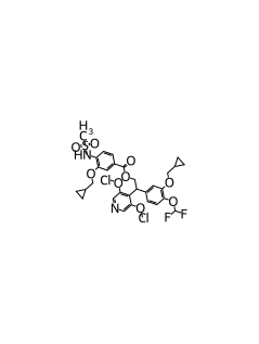 CS(=O)(=O)Nc1ccc(C(=O)OCC(c2ccc(OC(F)F)c(OCC3CC3)c2)c2c(OCl)cncc2OCl)cc1OCC1CC1